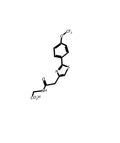 O=C(O)CNC(=O)Cc1csc(-c2ccc(OC(F)(F)F)cc2)n1